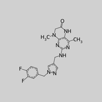 Cc1nc(NCc2cnn(Cc3ccc(F)c(F)c3)c2)nc2c1NC(=O)CN2C